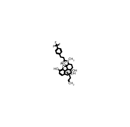 C=CCN1CC[C@]23c4c5ccc(O)c4OC2(C)C(N(C)C(=O)CCc2ccc(C(F)(F)F)cc2)CC[C@@]3(O)[C@H]1C5